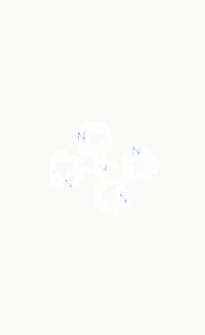 C[Si](C)(c1cccnc1-c1cccnc1)c1cccnc1-c1cccnc1